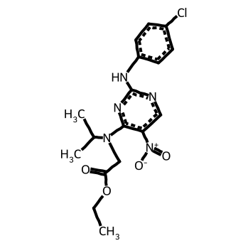 CCOC(=O)CN(c1nc(Nc2ccc(Cl)cc2)ncc1[N+](=O)[O-])C(C)C